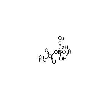 O=S(=O)(O)O.[CaH2].[Cr].[Cu].[O]=[Cr](=[O])([OH])[OH].[Zn]